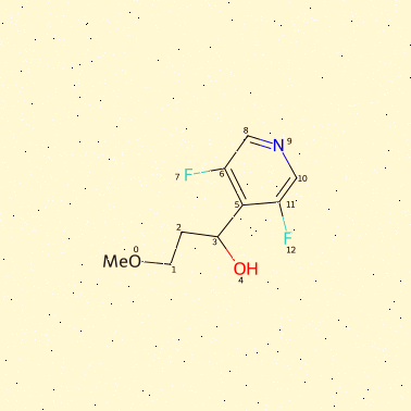 COCCC(O)c1c(F)cncc1F